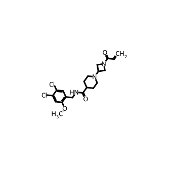 C=CC(=O)N1CC(N2CCC(C(=O)NCc3cc(Cl)c(Cl)cc3OC)CC2)C1